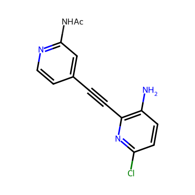 CC(=O)Nc1cc(C#Cc2nc(Cl)ccc2N)ccn1